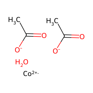 CC(=O)[O-].CC(=O)[O-].O.[Co+2]